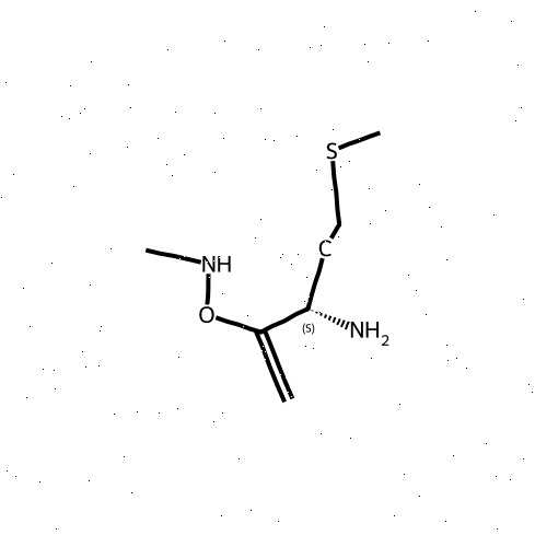 C=C(ONC)[C@@H](N)CCSC